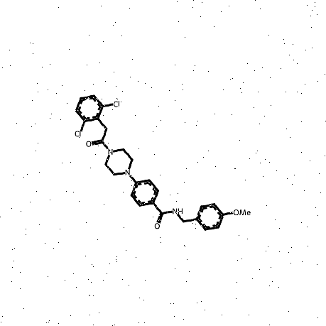 COc1ccc(CNC(=O)c2ccc(N3CCN(C(=O)Cc4c(Cl)cccc4Cl)CC3)cc2)cc1